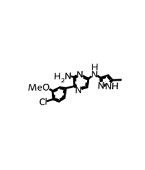 COc1cc(-c2ncc(Nc3cc(C)[nH]n3)nc2N)ccc1Cl